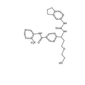 Nc1ccccc1NC(=O)c1ccc(C(CCOCCO)NC(=O)Nc2ccc3c(c2)CCC3)cc1